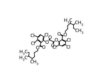 CCC(C)C(C)CCCOC(=O)c1c(Cl)c(Cl)cc(Cl)c1OC(=O)C(=O)Oc1c(Cl)cc(Cl)c(Cl)c1C(=O)OCCCC(C)C(C)CC